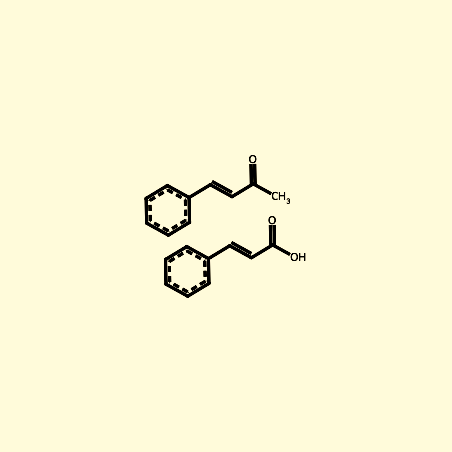 CC(=O)C=Cc1ccccc1.O=C(O)C=Cc1ccccc1